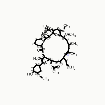 C=CCC1/C=C(\C)CC(C)CC(OC)C2OC(OC(C)=O)(C(C)CC2OC)C(O)C(=O)N2CCCCC2C(=O)OC(C(C)=CC2CCC(O)C(OC)C2)C(C)C(OC(C)=O)CC1=O